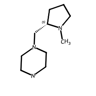 CN1CCC[C@H]1CN1CC[N]CC1